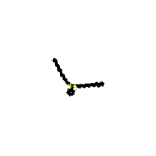 CCCCCCCCCCCCSC(C)(SCCCCCCCCCCCC)c1ccccc1